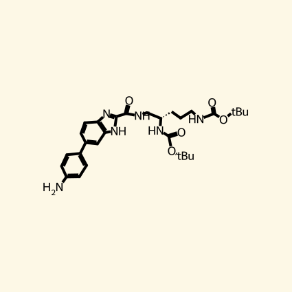 CC(C)(C)OC(=O)NCCC[C@@H](CNC(=O)c1nc2ccc(-c3ccc(N)cc3)cc2[nH]1)NC(=O)OC(C)(C)C